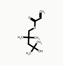 C=CC(=O)OCC(C)(C)CC(C)(C)O